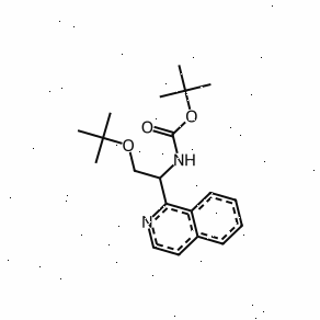 CC(C)(C)OCC(NC(=O)OC(C)(C)C)c1nccc2ccccc12